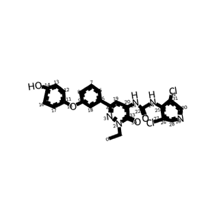 CCn1nc(-c2cccc(Oc3ccc(O)cc3)c2)cc(NC(=O)Nc2c(Cl)cncc2Cl)c1=O